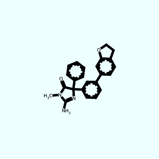 CN1C(=O)C(c2ccccc2)(c2cccc(-c3ccc4c(c3)OCC4)c2)N=C1N